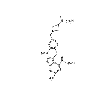 CCCCCNc1nc(N)nc2ccn(Cc3ccc(CN4CC(N(C)C(=O)O)C4)cc3OC)c12